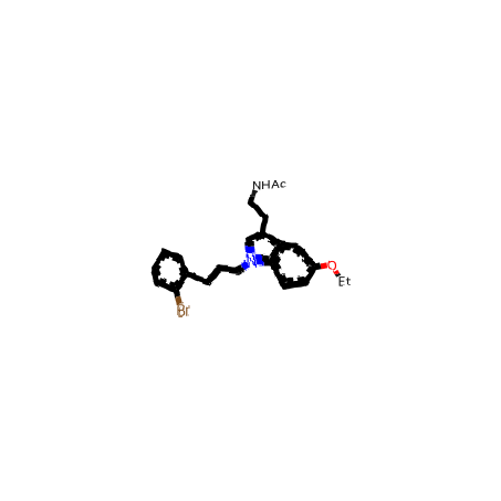 CCOc1ccc2c(c1)c(CCNC(C)=O)cn2CCCc1ccccc1Br